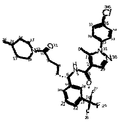 Cc1c(C(=O)N[C@@H](CCCC(=O)N2CCC(C)CC2)c2cccc(C(F)(F)F)c2)cnn1-c1ccc(Cl)cc1